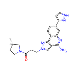 C[C@H]1CCN(C(=O)CCn2cc3c(N)nc4cc(-c5cc[nH]n5)ccc4c3n2)C1